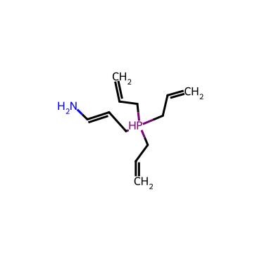 C=CC[PH](CC=C)(CC=C)CC=CN